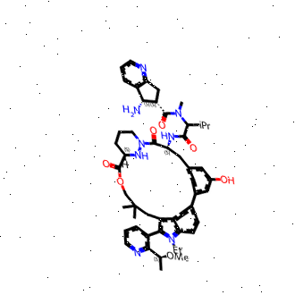 CCn1c(-c2cccnc2[C@H](C)OC)c2c3cc(ccc31)-c1cc(O)cc(c1)C[C@H](NC(=O)C(C(C)C)N(C)C(=O)[C@H]1Cc3ncccc3[C@H]1N)C(=O)N1CCC[C@H](N1)C(=O)OCC(C)(C)C2